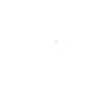 CCCCOc1cc(F)c(C[C@@H]2N=C(OC)C(C(C)(C)C)N=C2OC)cc1C=O